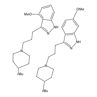 CCCCC1CCN(CCCc2n[nH]c3cc(OC)ccc23)CC1.CCCCC1CCN(CCCc2n[nH]c3cccc(OC)c23)CC1